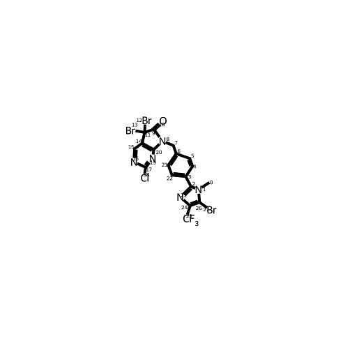 Cn1c(-c2ccc(CN3C(=O)C(Br)(Br)c4cnc(Cl)nc43)cc2)nc(C(F)(F)F)c1Br